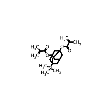 C=C(C)C(=O)OC12CC3CC(OC(=O)C(=C)C)(C1)CC([Si](C)(C)C)(C3)C2